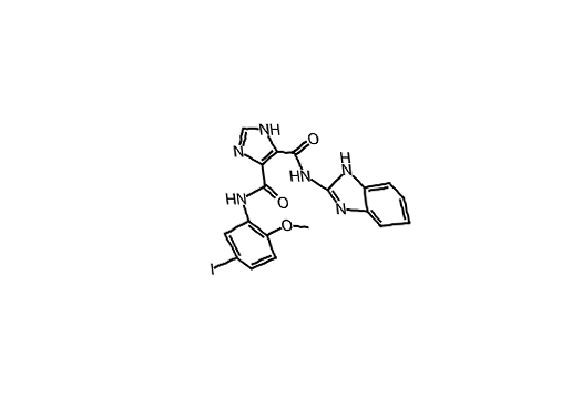 COc1ccc(I)cc1NC(=O)c1nc[nH]c1C(=O)Nc1nc2ccccc2[nH]1